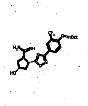 CCCCCCCCOc1ccc(-c2noc([C@@H]3C[C@H](O)CN3C(=N)N)n2)cc1C(F)(F)F